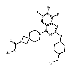 CC(C)(C)OC(=O)N1CC2(CCN(c3nc(OC4CCN(CC(F)(F)F)CC4)nc4c(F)c(Br)c(I)cc34)CC2)C1